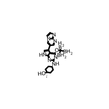 BC(B)(B)Oc1nc(N[C@H]2CC[C@](C)(O)CC2)nc2[nH]cc(-c3cnc4nccn4c3)c12